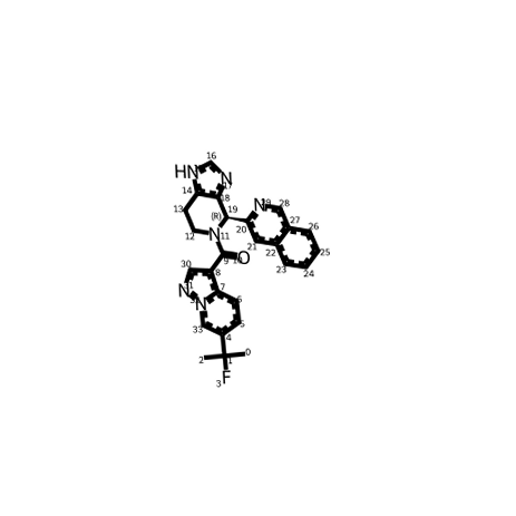 CC(C)(F)c1ccc2c(C(=O)N3CCc4[nH]cnc4[C@H]3c3cc4ccccc4cn3)cnn2c1